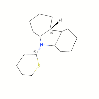 C1CC[C@H](N2C3CCCCC3[C@H]3CCCCC32)SC1